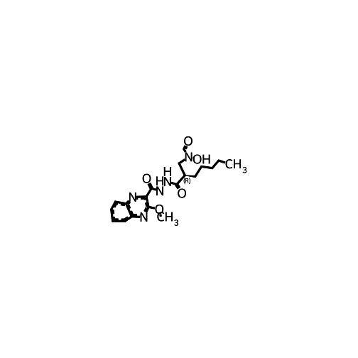 CCCCC[C@H](CN(O)C=O)C(=O)NNC(=O)c1nc2ccccc2nc1OC